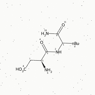 CCCCC(NC(=O)[C@@H](N)CC(=O)O)C(N)=O